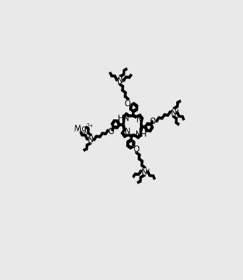 CCCC[N+](CCCC)(CCCC)CCCCCCOc1cccc(-c2c3nc(c(-c4cccc(OCCCCCC[N+](CCCC)(CCCC)CCCC)c4)c4ccc([nH]4)c(-c4cccc(OCCCCCC[N+](CCCC)(CCCC)CCCC)c4)c4nc(c(-c5cccc(OCCCCCC[N+](CCCC)(CCCC)CCCC)c5)c5ccc2[nH]5)C=C4)C=C3)c1.[Mg+2]